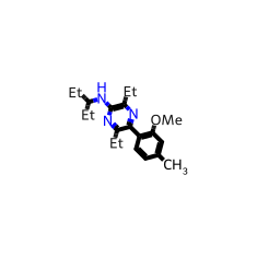 CCc1nc(-c2ccc(C)cc2OC)c(CC)nc1NC(CC)CC